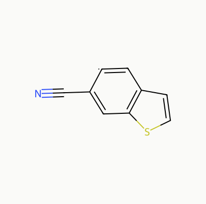 N#Cc1[c]cc2ccsc2c1